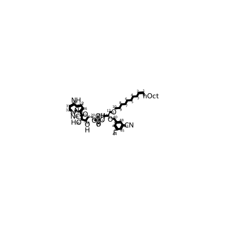 CCCCCCCC/C=C\CCCCCCCCOC[C@H](COP(=O)(O)OC[C@H]1O[C@@](C#N)(c2ccc3c(N)ccnn23)[C@H](O)[C@@H]1O)OCc1cc(F)cc(C#N)c1